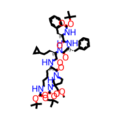 COC(=O)C1(NC(=O)OC(C)(C)C)CCN(C(=O)[C@@H](CCCCNC(=O)OC(C)(C)C)NC(=O)[C@@H](CCC2CC2)NC(=O)[C@@H](Cc2ccccc2)NC(=O)[C@@H](Cc2ccccc2)NC(=O)OC(C)(C)C)C1